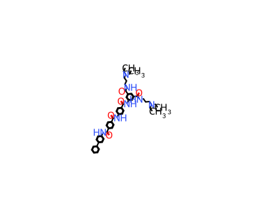 CCN(CC)CCCNC(=O)c1cc(NC(=O)c2ccc(NC(=O)c3ccc(C(=O)Nc4ccc(-c5ccccc5)cc4)cc3)cc2)cc(C(=O)NCCCN(CC)CC)c1